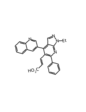 CCn1ncc2c(-c3cnc4ccccc4c3)c(/C=C/C(=O)O)c(-c3ccccc3)nc21